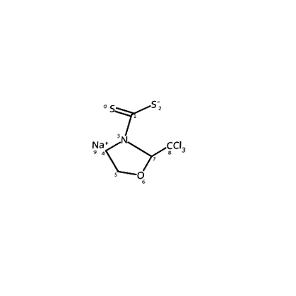 S=C([S-])N1CCOC1C(Cl)(Cl)Cl.[Na+]